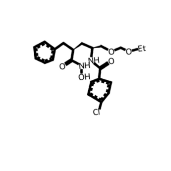 CCOCOC[C@H](C[C@H](Cc1ccccc1)C(=O)NO)NC(=O)c1ccc(Cl)cc1